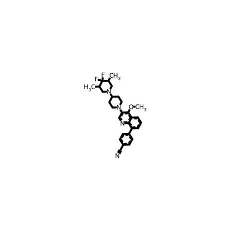 COc1c(N2CCC(N3CC(C)C(F)(F)C(C)C3)CC2)cnc2c(-c3ccc(C#N)cc3)cccc12